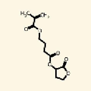 C=C(C)C(=O)OCCCC(=O)OC1CCOC1=O